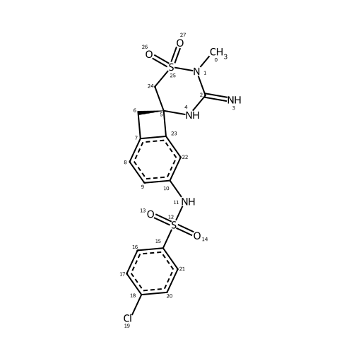 CN1C(=N)N[C@@]2(Cc3ccc(NS(=O)(=O)c4ccc(Cl)cc4)cc32)CS1(=O)=O